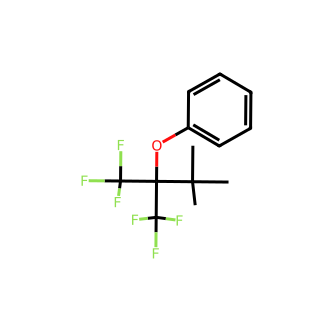 CC(C)(C)C(Oc1ccccc1)(C(F)(F)F)C(F)(F)F